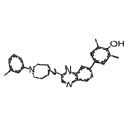 Cc1cccc(N2CCN(c3cnc4ccc(-c5cc(C)c(O)c(C)c5)cc4n3)CC2)c1